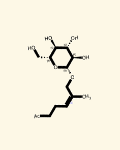 CC(=O)CC/C=C(/C)CO[C@@H]1O[C@H](CO)[C@@H](O)[C@H](O)[C@H]1O